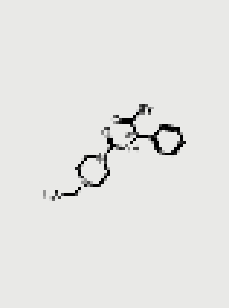 CC(C)C(=O)[C@H](NC(=O)N1CCN(CC(F)(F)F)CC1)c1ccccc1